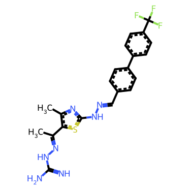 CC(=NNC(=N)N)c1sc(NN=Cc2ccc(-c3ccc(C(F)(F)F)cc3)cc2)nc1C